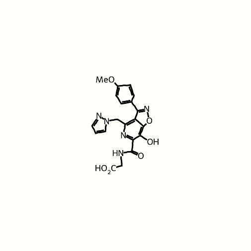 COc1ccc(-c2noc3c(O)c(C(=O)NCC(=O)O)nc(Cn4cccn4)c23)cc1